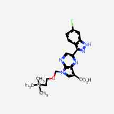 C[Si](C)(C)CCOCn1cc(C(=O)O)c2nc(-c3n[nH]c4cc(F)ccc34)cnc21